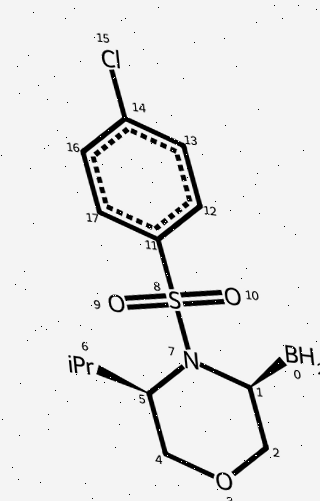 B[C@H]1COC[C@@H](C(C)C)N1S(=O)(=O)c1ccc(Cl)cc1